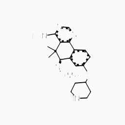 CO/N=C1\c2cc(OC3CCNCC3)ccc2-c2ncnc(N)c2C1(C)C